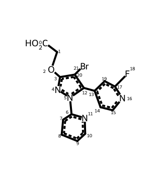 O=C(O)COc1nn(-c2ccccn2)c(-c2ccnc(F)c2)c1Br